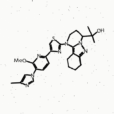 COc1nc(-c2csc(N3CCC(C(C)(C)O)n4nc5c(c43)CCCC5)n2)ccc1-n1cnc(C)c1